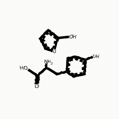 NC(Cc1ccc(O)cc1)C(=O)O.Oc1ccco1